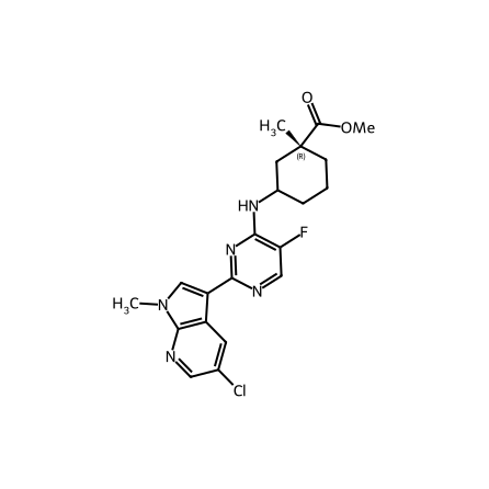 COC(=O)[C@]1(C)CCCC(Nc2nc(-c3cn(C)c4ncc(Cl)cc34)ncc2F)C1